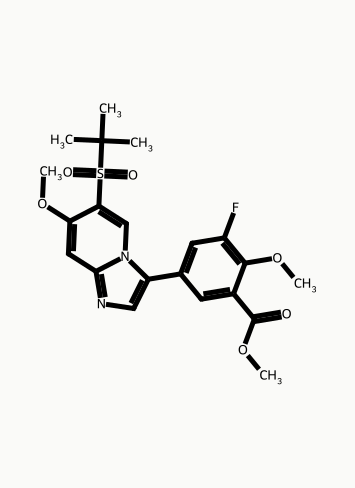 COC(=O)c1cc(-c2cnc3cc(OC)c(S(=O)(=O)C(C)(C)C)cn23)cc(F)c1OC